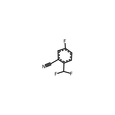 N#Cc1cc(F)ccc1C(F)F